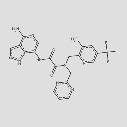 Cc1cc(C(F)(F)F)cnc1CN(Cc1ncccn1)C(=O)C(=O)Nc1cnc(N)c2cn[nH]c12